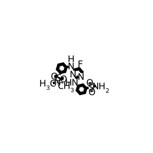 CN(C)S(=O)(=O)c1cccc(Nc2nc(Nc3cccc(S(N)(=O)=O)c3)ncc2F)c1